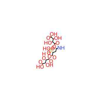 N=C(CC(C(=O)OC(=O)C(O)C(O)C(=O)O)S(=O)(=O)O)OC(=O)C(O)C(O)C(=O)O